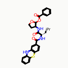 CC(C)C[C@H](NC(=O)c1ccc2c(c1)Nc1ccccc1S2)C(=O)NC1CCOC1OC(=O)c1ccccc1